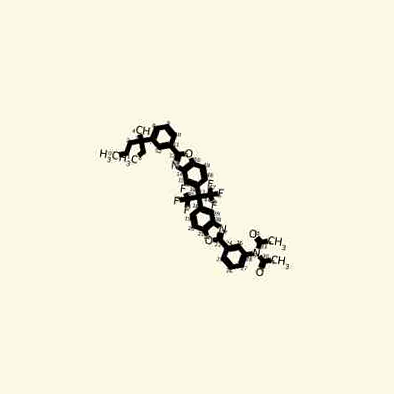 CCCC(C)(CC)c1cccc(-c2nc3cc(C(c4ccc5oc(-c6cccc(N(C(C)=O)C(C)=O)c6)nc5c4)(C(F)(F)F)C(F)(F)F)ccc3o2)c1